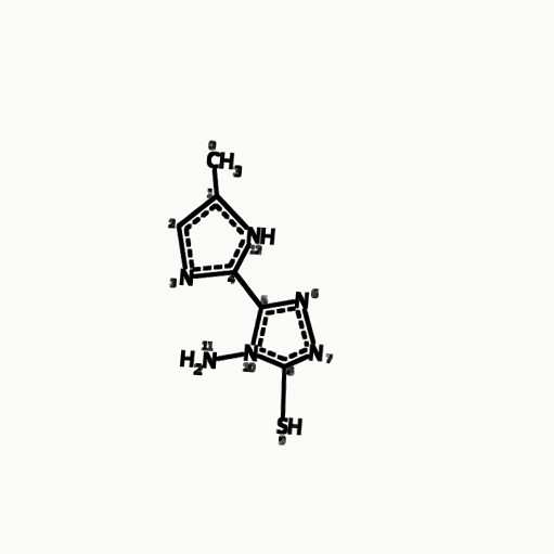 Cc1cnc(-c2nnc(S)n2N)[nH]1